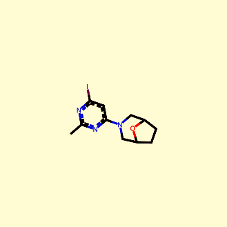 Cc1nc(I)cc(N2CC3CCC(C2)O3)n1